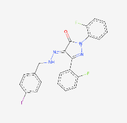 O=C1/C(=N/NCc2ccc(I)cc2)C(c2ccccc2F)=NN1c1ccccc1F